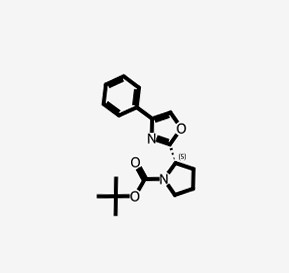 CC(C)(C)OC(=O)N1CCC[C@H]1c1nc(-c2ccccc2)co1